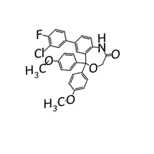 COc1ccc(C2(c3ccc(OC)cc3)OCC(=O)Nc3ccc(-c4ccc(F)c(Cl)c4)cc32)cc1